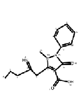 CCCC(=N)Cc1c(C(=O)O)c(=O)n(-c2ccccc2)n1C